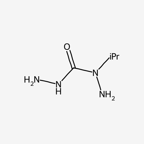 CC(C)N(N)C(=O)NN